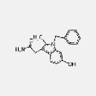 Cc1c(CC(N)=O)c2ccc(O)cc2n1Cc1ccccc1